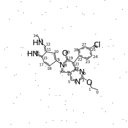 CCOc1ncc2cn(C3=C/C(=C/NC)C(=N)C=C3)c(=O)c(-c3ccc(Cl)cc3)c2n1